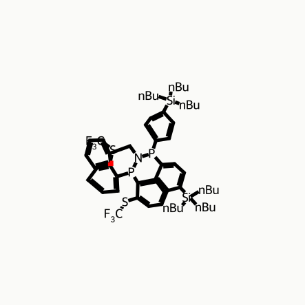 CCCC[Si](CCCC)(CCCC)c1ccc(P(c2ccc([Si](CCCC)(CCCC)CCCC)cc2)N(Cc2ccccc2)P(c2ccccc2SC(F)(F)F)c2ccccc2SC(F)(F)F)cc1